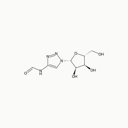 O=CNc1cn([C@@H]2O[C@H](CO)[C@@H](O)[C@H]2O)nn1